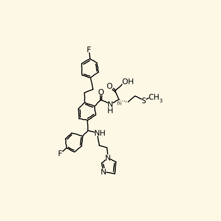 CSCC[C@H](NC(=O)c1cc(C(NCCn2ccnc2)c2ccc(F)cc2)ccc1CCc1ccc(F)cc1)C(=O)O